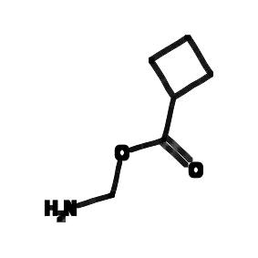 NCOC(=O)C1CCC1